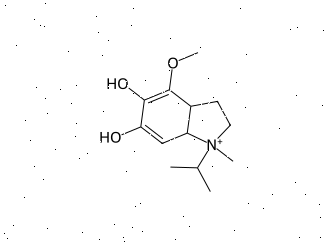 COC1=C(O)C(O)=CC2C1CC[N+]2(C)C(C)C